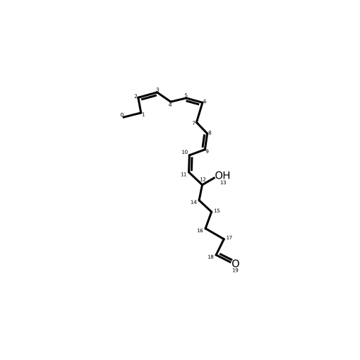 CC/C=C\C/C=C\C/C=C\C=C/C(O)CCCCC=O